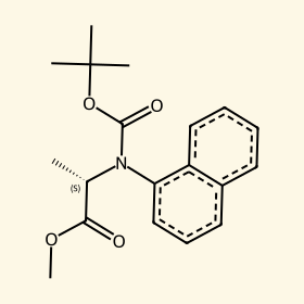 COC(=O)[C@H](C)N(C(=O)OC(C)(C)C)c1cccc2ccccc12